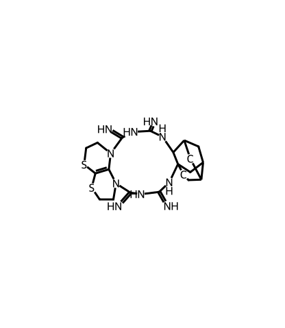 N=C1NC(=N)N2CCSC3=C2N(CCS3)C(=N)NC(=N)NC23CCC4CC(CC4C2)C3N1